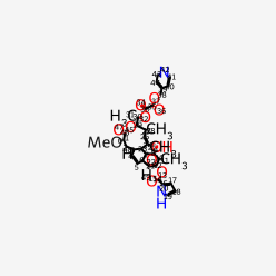 CO[C@H]1C[C@H]2C=CC3C4[C@H](O)[C@@H](C)[C@@H](OC(=O)c5ccc[nH]5)[C@@H]3O[C@]42/C(C)=C/[C@@H](C)[C@@H]([C@@H](C)OC(=O)C(=O)OCc2ccncc2)OC1=O